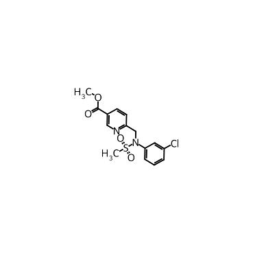 COC(=O)c1ccc(CN(c2cccc(Cl)c2)S(C)(=O)=O)nc1